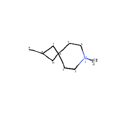 CCN1CCC2(CC1)CC(C)C2